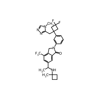 CC(NC1(C)CCC1)c1cc2c(c(C(F)(F)F)c1)CN(c1cccc(C3(Cc4nncn4C)CC(F)(F)C3)c1)C2=O